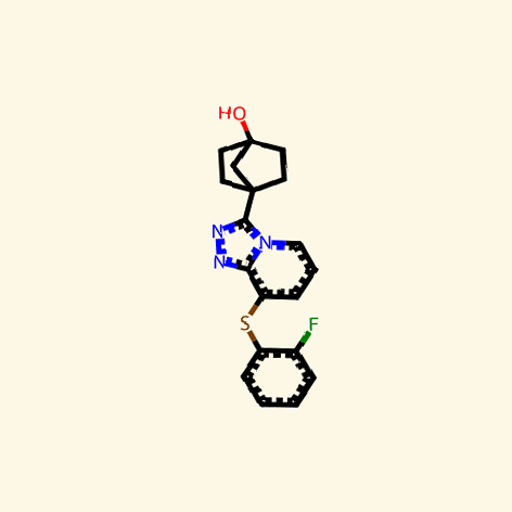 OC12CCC(c3nnc4c(Sc5ccccc5F)cccn34)(CC1)C2